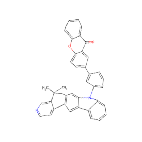 CC1(C)c2cnccc2-c2cc3c4ccccc4n(-c4cccc(-c5ccc6oc7ccccc7c(=O)c6c5)c4)c3cc21